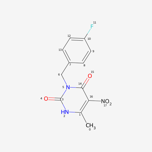 Cc1[nH]c(=O)n(Cc2ccc(F)cc2)c(=O)c1[N+](=O)[O-]